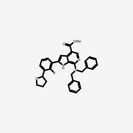 COC(=O)c1cnc(N(Cc2ccccc2)Cc2ccccc2)c2[nH]c(-c3cccc(C4CCCO4)c3F)cc12